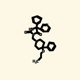 CCCOC1(c2ccccc2)CCN(CN2C(=O)NC(c3ccccc3)(c3cccnc3)C2=O)CC1